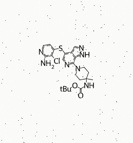 CC1(NC(=O)OC(C)(C)C)CCN(c2ncc(Sc3ccnc(N)c3Cl)c3cn[nH]c23)CC1